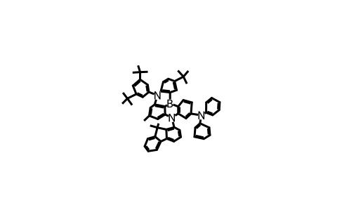 Cc1cc2c3c(c1)N(c1cccc4c1C(C)(C)c1ccccc1-4)c1cc(N(c4ccccc4)c4ccccc4)ccc1B3c1cc(C(C)(C)C)ccc1N2c1cc(C(C)(C)C)cc(C(C)(C)C)c1